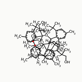 Cc1cc(C(C)(C)C)c(C2OC(c3c(C(C)(C)C)cc(C)cc3C(C)(C)C)(C(C)(C)CO)OC(c3c(C(C)(C)C)cc(C)cc3C(C)(C)C)(c3c(C(C)(C)C)cc(C)cc3C(C)(C)C)C23COC(C(C)(C)CO)OC3)c(C(C)(C)C)c1